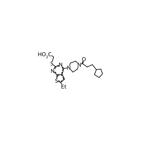 CCc1cc2c(N3CCN(C(=O)CCC4CCCC4)CC3)nc(SCC(=O)O)nc2s1